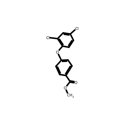 COC(=O)c1ccc(Oc2ccc(Cl)cc2Cl)cc1